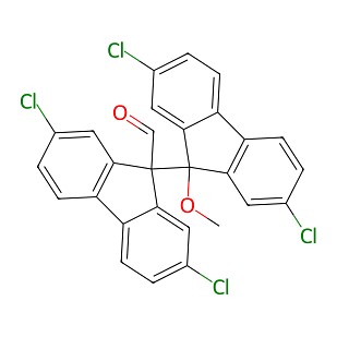 COC1(C2(C=O)c3cc(Cl)ccc3-c3ccc(Cl)cc32)c2cc(Cl)ccc2-c2ccc(Cl)cc21